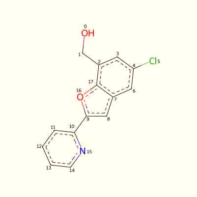 OCc1cc(Cl)cc2cc(-c3ccccn3)oc12